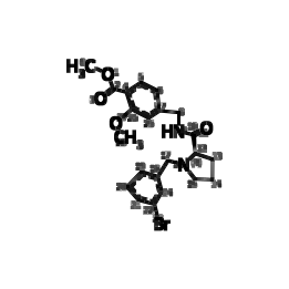 COC(=O)c1ccc(CNC(=O)[C@H]2CCCN2Cc2cccc(Br)c2)cc1OC